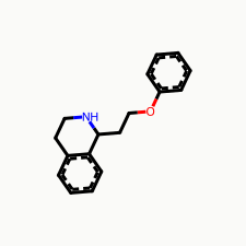 c1ccc(OCCC2NCCc3ccccc32)cc1